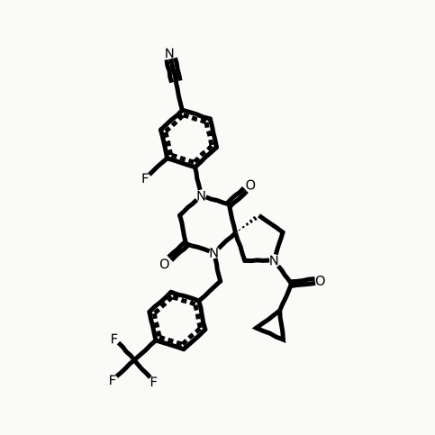 N#Cc1ccc(N2CC(=O)N(Cc3ccc(C(F)(F)F)cc3)[C@@]3(CCN(C(=O)C4CC4)C3)C2=O)c(F)c1